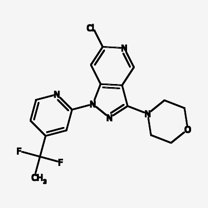 CC(F)(F)c1ccnc(-n2nc(N3CCOCC3)c3cnc(Cl)cc32)c1